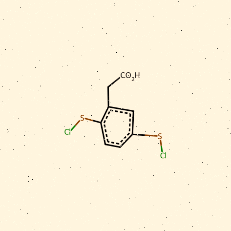 O=C(O)Cc1cc(SCl)ccc1SCl